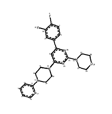 Fc1ccc(-c2cc(N3CCN(c4ccccn4)CC3)nc(N3CCOCC3)n2)cc1F